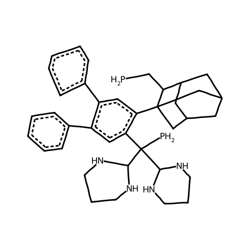 PCC1C2CC3CC(C2)CC1(c1cc(-c2ccccc2)c(-c2ccccc2)cc1C(P)(C1NCCCN1)C1NCCCN1)C3